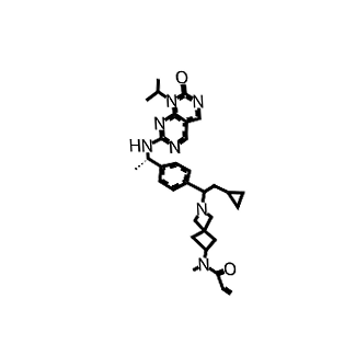 C=CC(=O)N(C)C1CC2(C1)CN(C(CC1CC1)c1ccc([C@H](C)Nc3ncc4cnc(=O)n(C(C)C)c4n3)cc1)C2